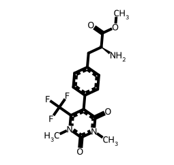 COC(=O)[C@@H](N)Cc1ccc(-c2c(C(F)(F)F)n(C)c(=O)n(C)c2=O)cc1